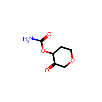 NC(=O)OC1CCOCC1=O